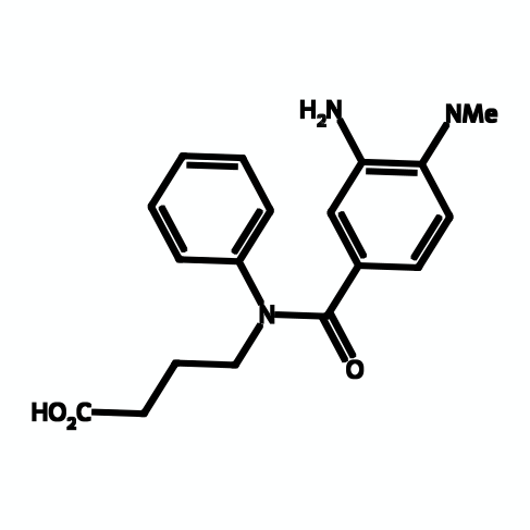 CNc1ccc(C(=O)N(CCCC(=O)O)c2ccccc2)cc1N